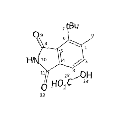 Cc1ccc2c(c1C(C)(C)C)C(=O)NC2=O.O=C(O)O